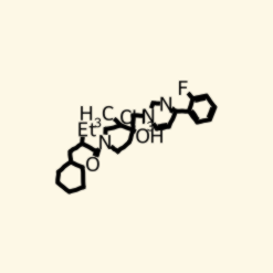 CCC(CC1CCCCC1)C(=O)N1CCC(O)(CN2C=CC(c3ccccc3F)=NC2)C(C)(C)C1